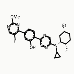 CC[C@@H]1CC[C@H](F)[C@H](N(c2cnc(-c3ccc(-c4nc(OC)ncc4F)cc3O)nn2)C2CC2)C1